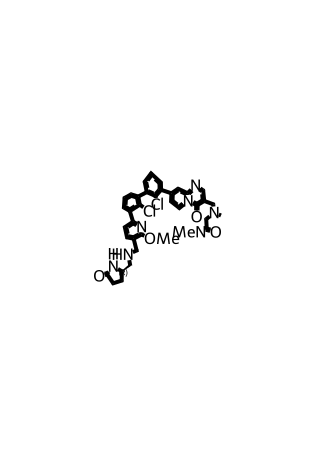 CNC(=O)CN(C)Cc1cnc2cc(-c3cccc(-c4cccc(-c5ccc(CNC[C@H]6CCC(=O)N6)c(OC)n5)c4Cl)c3Cl)ccn2c1=O